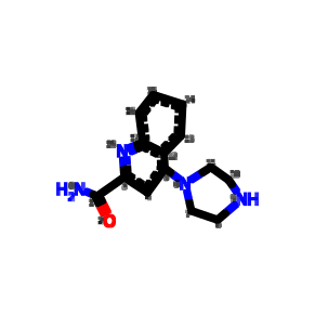 NC(=O)c1cc(N2CCNCC2)c2ccccc2n1